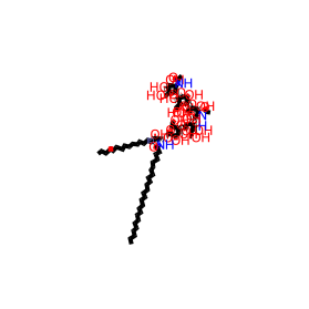 CCCCCCCCCCCCC/C=C/[C@@H](O)[C@H](CO[C@@H]1OC(CO)[C@@H](O[C@@H]2OC(CO)[C@H](O)[C@H](O[C@@H]3OC(CO)[C@@H](O[C@@H]4OC(CO)[C@H](O)[C@H](O[C@H]5OC(CO)[C@@H](O)[C@H](O)C5NC(C)=O)C4O)[C@H](O)C3NC(C)=O)C2O)[C@H](O)C1O)NC(=O)CCCCCCCCCCCCCCCCCCCCCCCCC